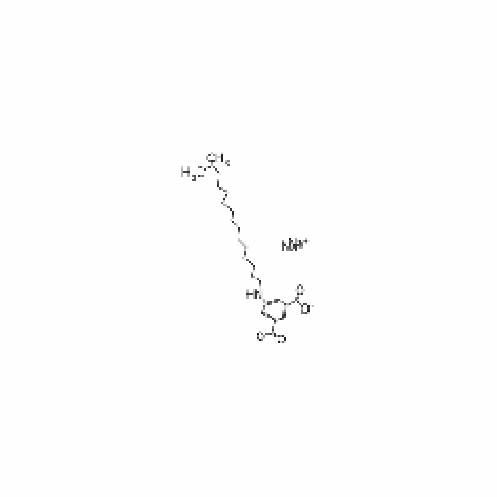 CC(C)CCCCCCCCCCCCCNc1cc(C(=O)[O-])cc(C(=O)[O-])c1.[Na+].[Na+]